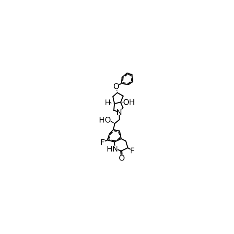 O=C1Nc2c(F)cc([C@@H](O)CN3C[C@H]4C[C@H](Oc5ccccc5)C[C@@]4(O)C3)cc2CC1F